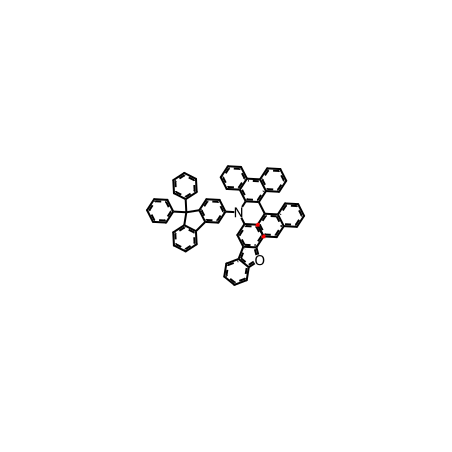 c1ccc(C2(c3ccccc3)c3ccccc3-c3cc(N(c4ccc5oc6ccccc6c5c4)c4c(-c5cccc6ccccc56)c5ccccc5c5ccccc45)ccc32)cc1